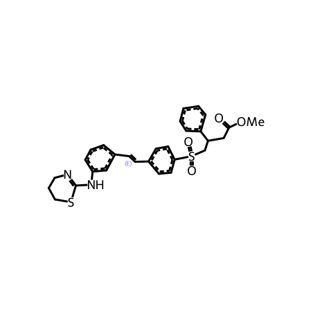 COC(=O)CC(CS(=O)(=O)c1ccc(/C=C/c2cccc(NC3=NCCCS3)c2)cc1)c1ccccc1